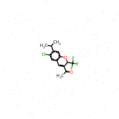 CC(=O)C1=Cc2cc(Cl)c(C(C)C)cc2OC1C(F)(F)F